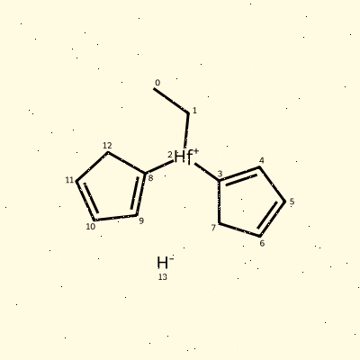 C[CH2][Hf+]([C]1=CC=CC1)[C]1=CC=CC1.[H-]